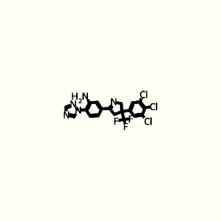 Nc1cc(C2=NCC(c3cc(Cl)c(Cl)c(Cl)c3)(C(F)(F)F)C2)ccc1-n1cncn1